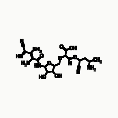 CC(N)CC(C#N)OPC(OCC1OC(NC(=O)/C(N)=C(\N)C(=N)C#N)C(O)C1O)C(=O)O